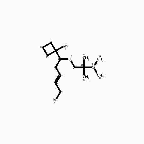 CCCC1(C(C/C=C/CBr)OCC(C)(C)[SiH](C)C)CCC1